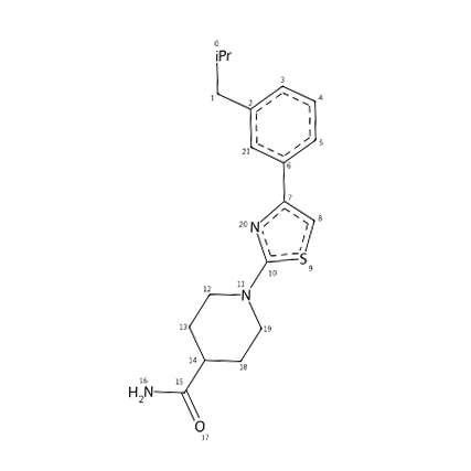 CC(C)Cc1cccc(-c2csc(N3CCC(C(N)=O)CC3)n2)c1